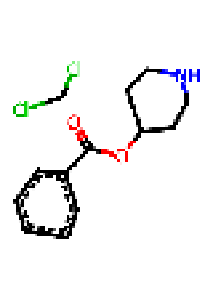 ClCCl.O=C(OC1CCNCC1)c1ccccc1